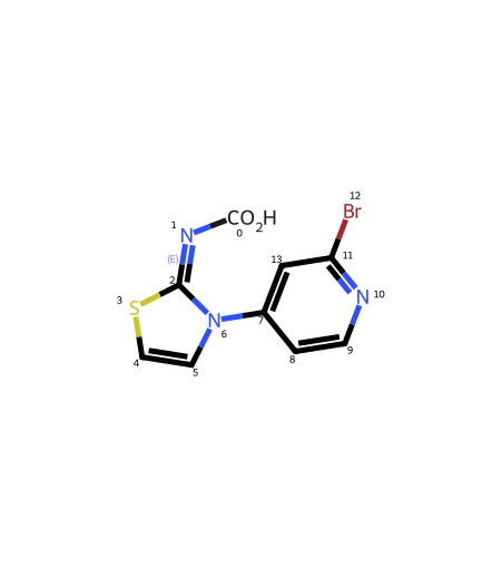 O=C(O)/N=c1/sccn1-c1ccnc(Br)c1